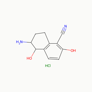 Cl.N#Cc1c(O)ccc2c1CCC(N)C2O